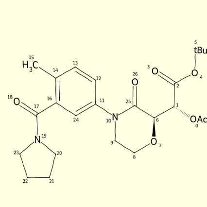 CC(=O)O[C@@H](C(=O)OC(C)(C)C)[C@H]1OCCN(c2ccc(C)c(C(=O)N3CCCC3)c2)C1=O